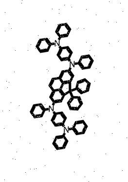 c1ccc(N(c2ccccc2)c2ccc(N(c3ccccc3)c3cc4c5c(ccc6cc(N(c7ccccc7)c7ccc(N(c8ccccc8)c8ccccc8)cc7)cc(c65)C4(c4ccccc4)c4ccccc4)c3)cc2)cc1